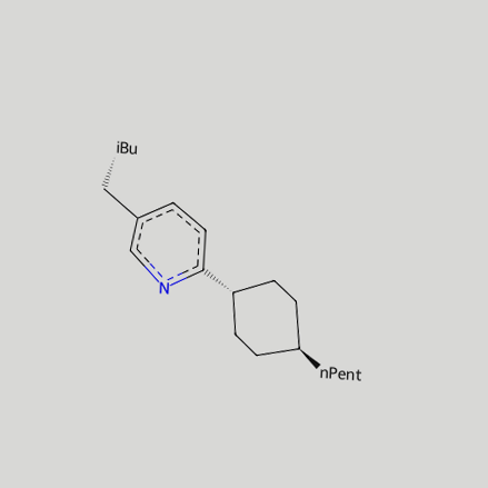 CCCCC[C@H]1CC[C@H](c2ccc(C[C@@H](C)CC)cn2)CC1